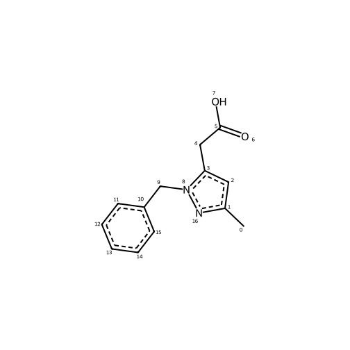 Cc1cc(CC(=O)O)n(Cc2ccccc2)n1